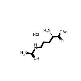 CC(=O)OC(=O)[C@@H](N)CCCNC(=N)N.Cl